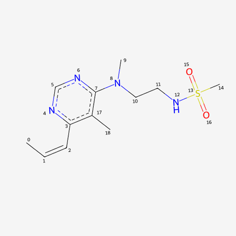 C/C=C\c1ncnc(N(C)CCNS(C)(=O)=O)c1C